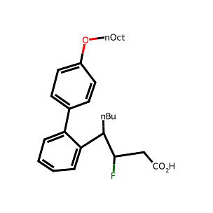 CCCCCCCCOc1ccc(-c2ccccc2C(CCCC)C(F)CC(=O)O)cc1